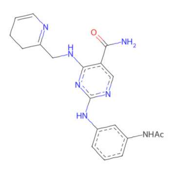 CC(=O)Nc1cccc(Nc2ncc(C(N)=O)c(NCC3=NC=CCC3)n2)c1